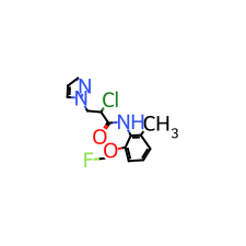 Cc1cccc(OCF)c1NC(=O)C(Cl)Cn1cccn1